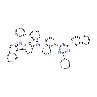 c1ccc(-c2nc(-c3ccc4ccccc4c3)nc(-c3cccc4c(-n5c6ccccc6c6c5ccc5c7c8ccccc8ccc7n(-c7ccccc7)c56)cccc34)n2)cc1